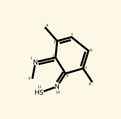 C/N=C1/C(C)=CC=C(C)/C1=N/S